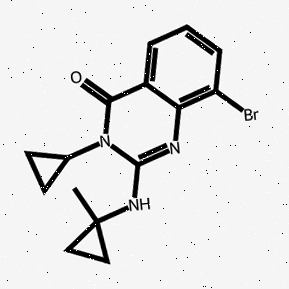 CC1(Nc2nc3c(Br)cccc3c(=O)n2C2CC2)CC1